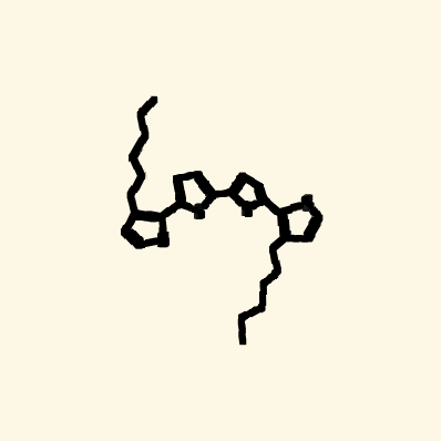 CCCCCCc1ccsc1-c1ccc(-c2ccc(-c3sccc3CCCCCC)s2)s1